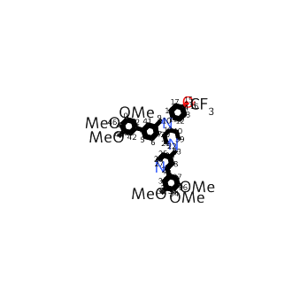 COc1cc(-c2cccc(CN(c3ccc(OC(F)(F)F)cc3)C3CCN(Cc4ccnc(-c5cc(OC)c(OC)c(OC)c5)c4)CC3)c2)cc(OC)c1OC